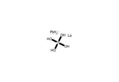 [La].[OH][Ti]([OH])([OH])[OH].[PbH2]